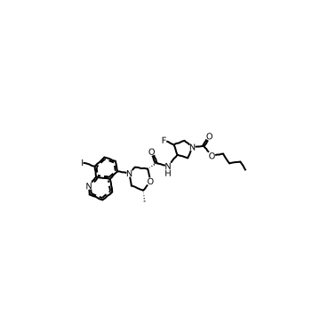 CCCCOC(=O)N1CC(F)C(NC(=O)[C@H]2CN(c3ccc(I)c4ncccc34)C[C@@H](C)O2)C1